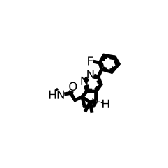 CNC(=O)CC12CC[C@H](c3cc(-c4ccccc4F)nnc31)C2(C)C